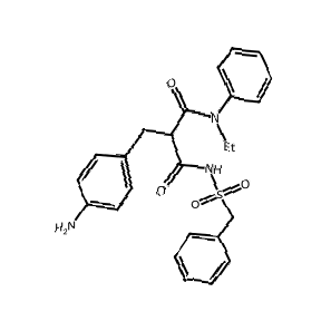 CCN(C(=O)C(Cc1ccc(N)cc1)C(=O)NS(=O)(=O)Cc1ccccc1)c1ccccc1